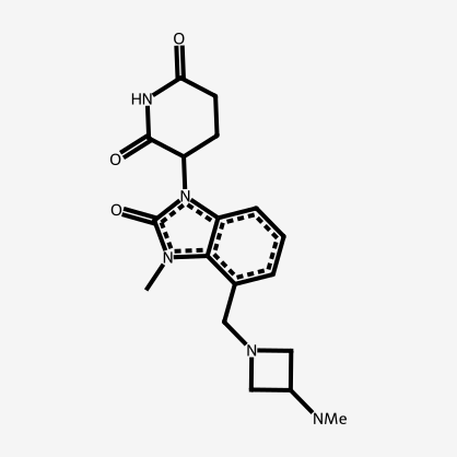 CNC1CN(Cc2cccc3c2n(C)c(=O)n3C2CCC(=O)NC2=O)C1